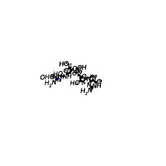 N/C(=N/C(O)N[C@H]1CC(OP(=O)(O)OC[C@H]2O[C@@H](n3cnc4c(=O)[nH]c(N)nc43)CC2O)[C@@H](CO)O1)NC=O